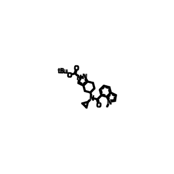 Cn1ccc2cccc(C(=O)N(C3CC3)C3CCc4nn(C(=O)OC(C)(C)C)cc4C3)c21